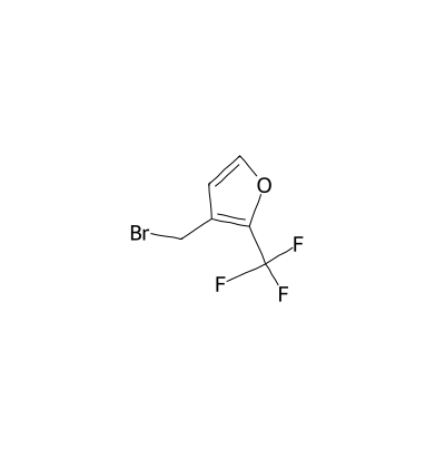 FC(F)(F)c1occc1CBr